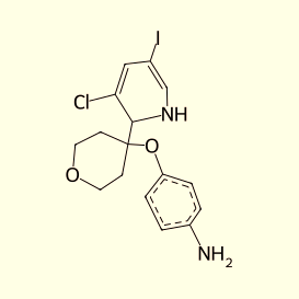 Nc1ccc(OC2(C3NC=C(I)C=C3Cl)CCOCC2)cc1